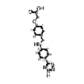 O=C(O)COc1ccc(CNc2ccc(-c3nn[nH]n3)cc2)cc1